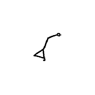 [O]CC1CS1